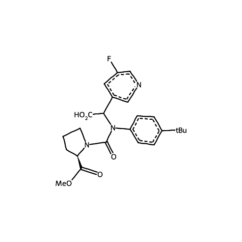 COC(=O)[C@H]1CCCN1C(=O)N(c1ccc(C(C)(C)C)cc1)C(C(=O)O)c1cncc(F)c1